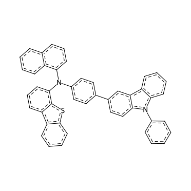 c1ccc(-n2c3ccccc3c3cc(-c4ccc(N(c5cccc6ccccc56)c5cccc6c5sc5ccccc56)cc4)ccc32)cc1